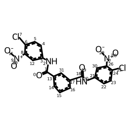 O=C(Nc1ccc(Cl)c([N+](=O)[O-])c1)c1cccc(C(=O)Nc2ccc(Cl)c([N+](=O)[O-])c2)c1